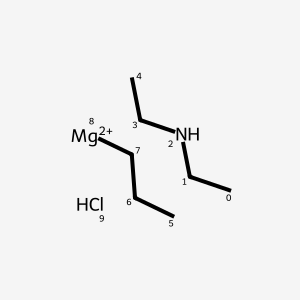 CCNCC.CC[CH2][Mg+2].Cl